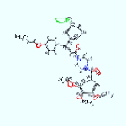 CCCOc1ccc(C(=CC(=O)N2CCN(C(=O)c3cc(OC)c(OC)c(OC)c3)CC2)c2cccc(Cl)c2)cc1